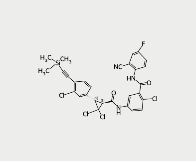 C[Si](C)(C)C#Cc1ccc([C@@H]2[C@@H](C(=O)Nc3ccc(Cl)c(C(=O)Nc4ccc(F)cc4C#N)c3)C2(Cl)Cl)cc1Cl